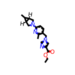 CCOC(=O)c1cn(Cc2ccc(N3C[C@@H]4C(C)[C@@H]4C3)nc2C)cn1